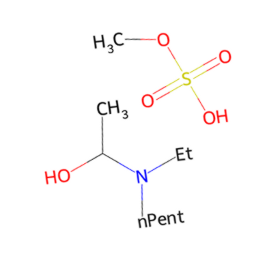 CCCCCN(CC)C(C)O.COS(=O)(=O)O